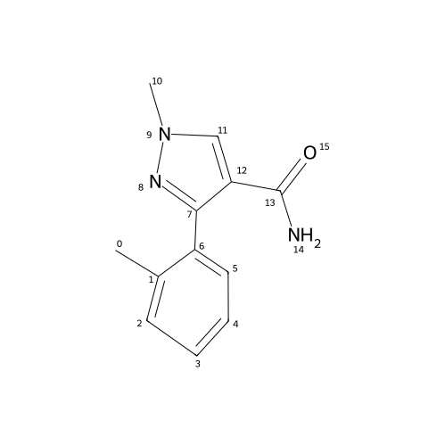 Cc1ccccc1-c1nn(C)cc1C(N)=O